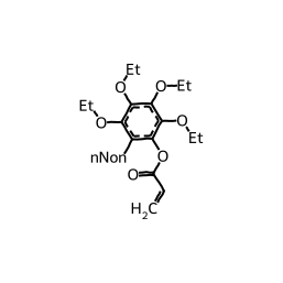 C=CC(=O)Oc1c(CCCCCCCCC)c(OCC)c(OCC)c(OCC)c1OCC